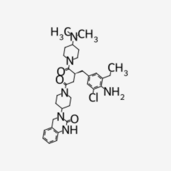 CCc1cc(C[C@@H](CC(=O)N2CCC(N3Cc4ccccc4NC3=O)CC2)C(=O)N2CCC(N(C)C)CC2)cc(Cl)c1N